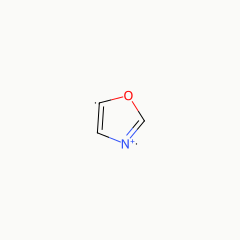 [C]1=C[N+]=CO1